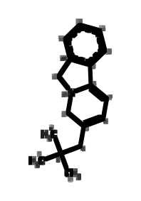 CC(C)(C)CC1=CC=C2c3ccccc3CN2C1